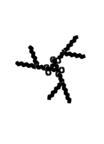 CCCCCCCCN(CCCCCCCC)CCCOC(=O)C1CC(C(=O)OCCCN(CCCCCCCC)CCCCCCCC)CC(C(=O)OCCCN(CCCCCCCC)CCCCCCCC)C1